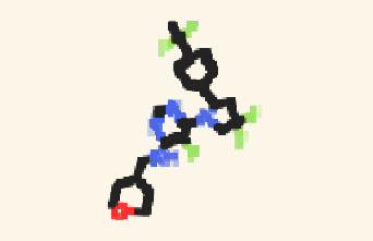 CC(F)(F)c1ccc(C2CC(F)(F)CN2c2ncnc(NCC3CCOCC3)c2F)cc1